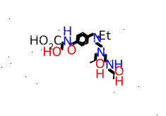 CCN(CCN(CCNC[C@H](C)O)C[C@H](C)O)Cc1ccc(C(=O)NC(CO)C(=O)O)cc1